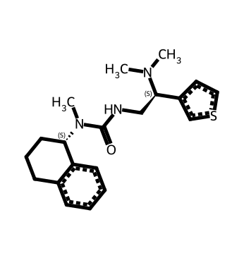 CN(C)[C@H](CNC(=O)N(C)[C@H]1CCCc2ccccc21)c1ccsc1